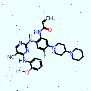 C=CC(=O)Nc1cc(N2CCC(N3CCCCC3)CC2)c(F)cc1Nc1ncc(C#N)c(Nc2ccccc2OC(C)C)n1